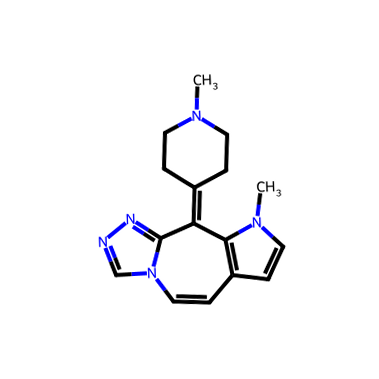 CN1CCC(=C2c3c(ccn3C)C=Cn3cnnc32)CC1